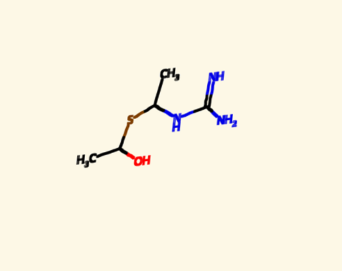 CC(O)SC(C)NC(=N)N